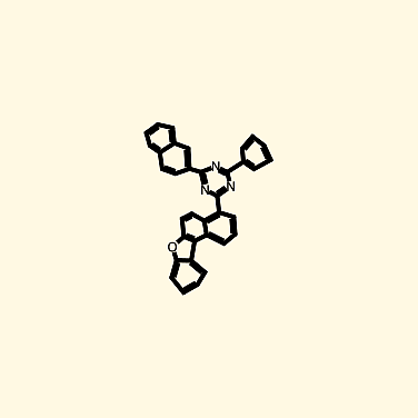 c1ccc(-c2nc(-c3ccc4ccccc4c3)nc(-c3cccc4c3ccc3oc5ccccc5c34)n2)cc1